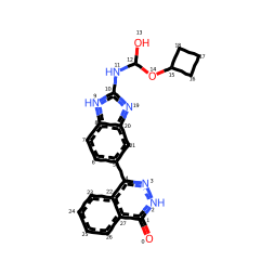 O=c1[nH]nc(-c2ccc3[nH]c(NC(O)OC4CCC4)nc3c2)c2ccccc12